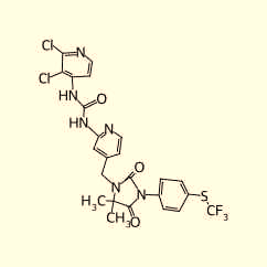 CC1(C)C(=O)N(c2ccc(SC(F)(F)F)cc2)C(=O)N1Cc1ccnc(NC(=O)Nc2ccnc(Cl)c2Cl)c1